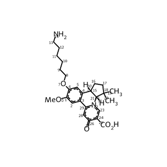 COc1cc2c(cc1OCCCCCCN)[C@@H]1CCC(C)(C)[C@@H]1n1cc(C(=O)O)c(=O)cc1-2